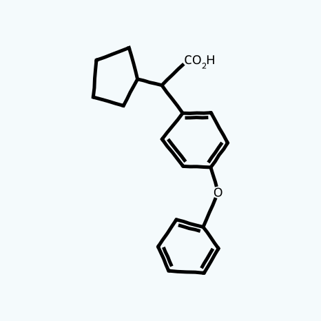 O=C(O)C(c1ccc(Oc2ccccc2)cc1)C1CCCC1